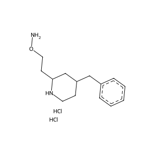 Cl.Cl.NOCCC1CC(Cc2ccccc2)CCN1